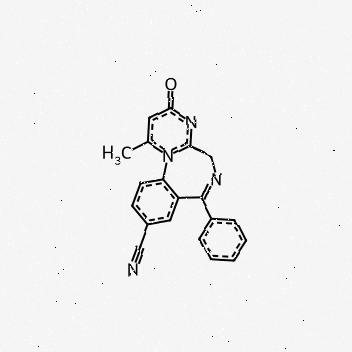 Cc1cc(=O)nc2n1-c1ccc(C#N)cc1C(c1ccccc1)=NC2